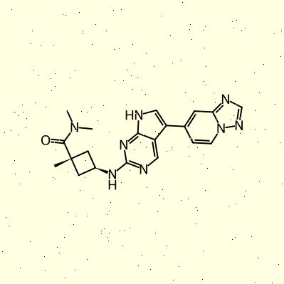 CN(C)C(=O)[C@]1(C)C[C@@H](Nc2ncc3c(-c4ccn5ncnc5c4)c[nH]c3n2)C1